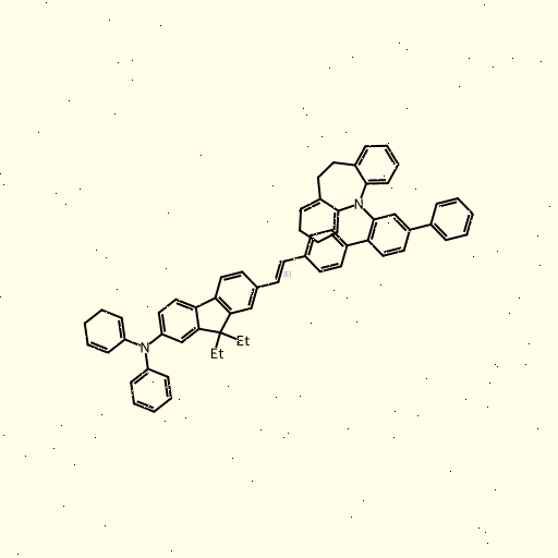 CCC1(CC)c2cc(/C=C/c3ccc(-c4ccc(-c5ccccc5)cc4N4C5=CCCC=C5CCc5ccccc54)cc3)ccc2-c2ccc(N(C3=CCCC=C3)c3ccccc3)cc21